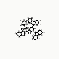 CC1(c2cc(-n3c4ccccc4c4ccccc43)cc(-n3c4ccccc4c4ccccc43)c2)N=C(c2ccccc2)NC(c2ccccc2)N1